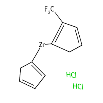 Cl.Cl.FC(F)(F)C1=[C]([Zr][C]2=CC=CC2)CC=C1